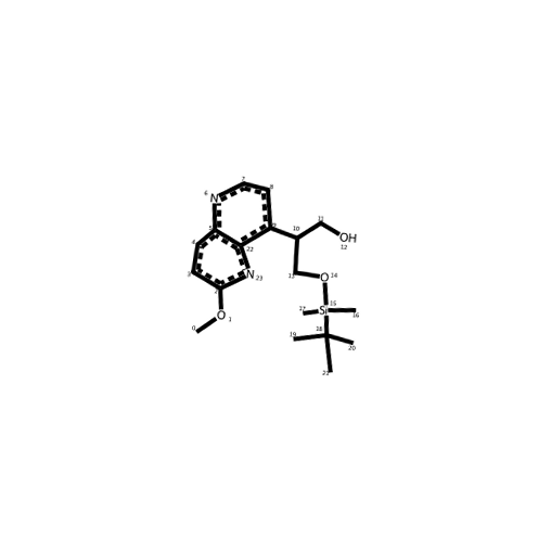 COc1ccc2nccc(C(CO)CO[Si](C)(C)C(C)(C)C)c2n1